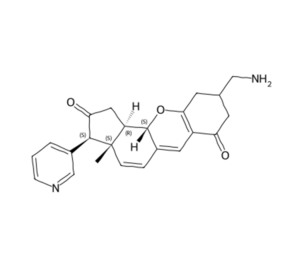 C[C@]12C=CC3=CC4=C(CC(CN)CC4=O)O[C@H]3[C@@H]1CC(=O)[C@@H]2c1cccnc1